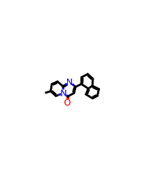 Cc1ccc2nc(-c3cccc4ccccc34)cc(=O)n2c1